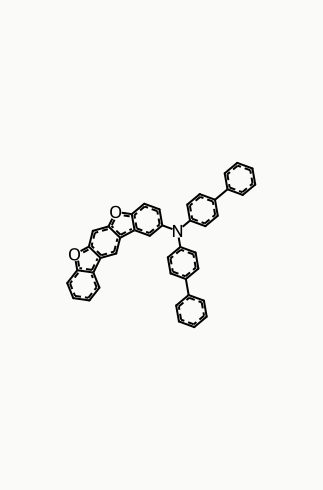 c1ccc(-c2ccc(N(c3ccc(-c4ccccc4)cc3)c3ccc4oc5cc6oc7ccccc7c6cc5c4c3)cc2)cc1